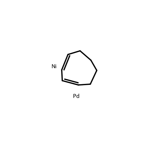 C1=CCCCCC=C1.[Ni].[Pd]